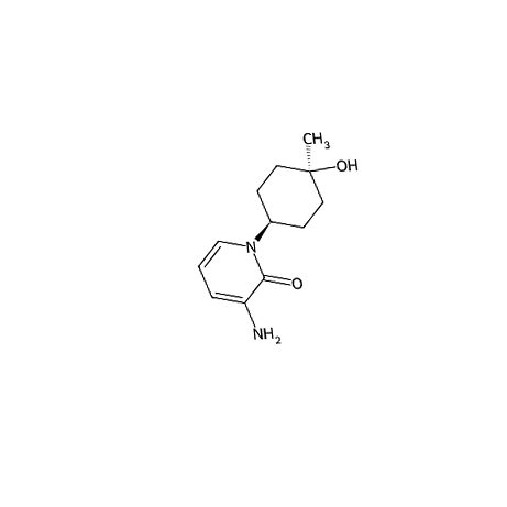 C[C@]1(O)CC[C@@H](n2cccc(N)c2=O)CC1